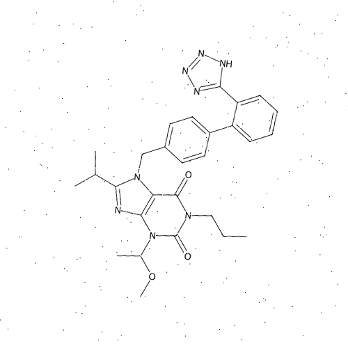 CCCn1c(=O)c2c(nc(C(C)C)n2Cc2ccc(-c3ccccc3-c3nnn[nH]3)cc2)n(C(C)OC)c1=O